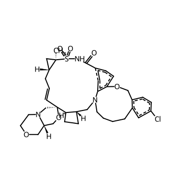 C[C@@]12C[C@H]1C/C=C/[C@@]1(CN3CCOC[C@H]3CO1)[C@@H]1CC[C@H]1CN1CCCCc3cc(Cl)ccc3COc3ccc(cc31)C(=O)NS2(=O)=O